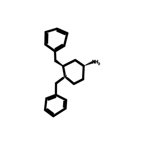 N[C@@H]1CCN(Cc2ccccc2)[C@@H](Cc2ccccc2)C1